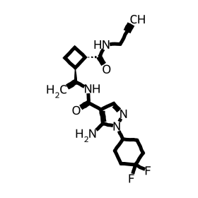 C#CCNC(=O)[C@H]1CC[C@@H]1C(=C)NC(=O)c1cnn(C2CCC(F)(F)CC2)c1N